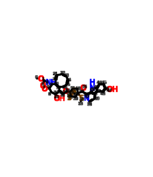 COC(=O)NC1C(=O)C[C@H](O)/C(=C/CS(C)(=S)=S)C2=C1C#C/C=C\C#C[C@@H]2OC1CCC(SC)(C(=O)c2nccc3c2[nH]c2ccc(O)cc23)CC1